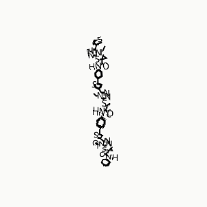 CCn1c(SC(C)C(=O)Nc2ccc(-c3cc(-c4nnc(SC5(C(=O)Nc6ccccc6)CC5)n4C(C)=O)cs3)cc2)nnc1-c1csc(-c2ccc(NC(=O)C3(Sc4nnc(-c5ccsc5)n4CC)CC3)cc2)c1